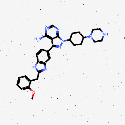 COc1ccccc1Cc1nc2cc(-c3nn(C4CCC(N5CCNCC5)CC4)c4ncnc(N)c34)ccc2[nH]1